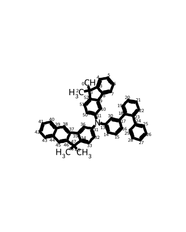 CC1(C)c2ccccc2-c2cc(N(c3cccc(-c4ccccc4-c4ccccc4)c3)c3ccc4c(c3)-c3cc5ccccc5cc3C4(C)C)ccc21